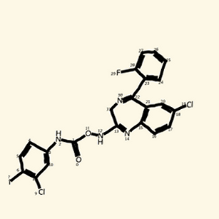 O=C(Nc1ccc(Cl)c(Cl)c1)ONC1=Nc2ccc(Cl)cc2C(c2ccccc2F)=NC1